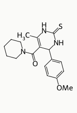 COc1ccc(C2NC(=S)NC(C)=C2C(=O)N2CCCCC2)cc1